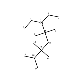 CCN(CC)C(C)(C)CC(C)(C)C(C)C